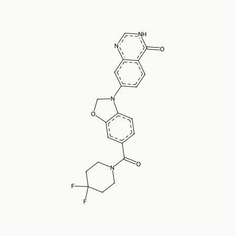 O=C(c1ccc2c(c1)OCN2c1ccc2c(=O)[nH]cnc2c1)N1CCC(F)(F)CC1